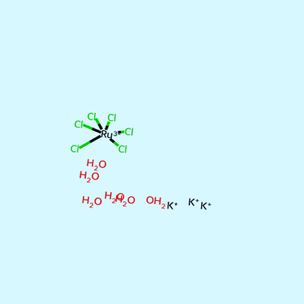 O.O.O.O.O.O.[Cl][Ru-3]([Cl])([Cl])([Cl])([Cl])[Cl].[K+].[K+].[K+]